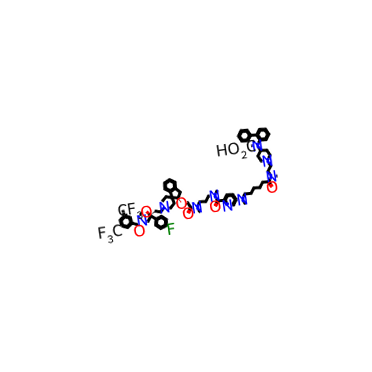 CN(CCN1CCC(N(C(=O)O)c2ccccc2-c2ccccc2)CC1)C(=O)CCCCCN(C)c1ccc(C(=O)N(C)CCCN(C)C(=O)CO[C@H]2Cc3ccccc3C23CCN(CC[C@]2(c4ccc(F)cc4)CN(C(=O)c4cc(C(F)(F)F)cc(C(F)(F)F)c4)CO2)CC3)nc1